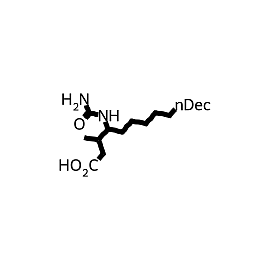 CCCCCCCCCCCCCCCC(NC(N)=O)C(C)CC(=O)O